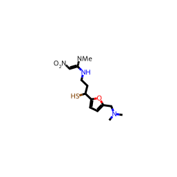 CNC(=C[N+](=O)[O-])NCCC(S)c1ccc(CN(C)C)o1